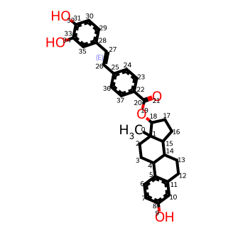 CC12CCC3c4ccc(O)cc4CCC3C1CCC2OC(=O)c1ccc(/C=C/c2ccc(O)c(O)c2)cc1